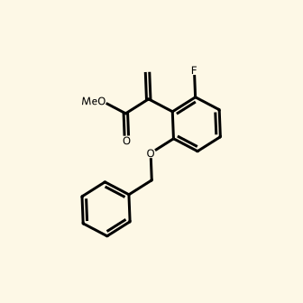 C=C(C(=O)OC)c1c(F)cccc1OCc1ccccc1